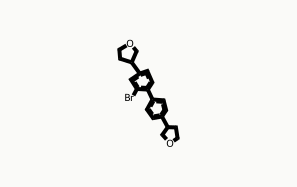 Brc1cc(C2CCOC2)ccc1-c1ccc(C2CCOC2)cc1